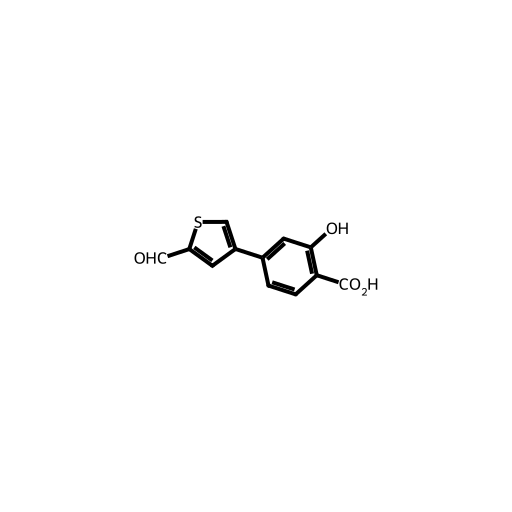 O=Cc1cc(-c2ccc(C(=O)O)c(O)c2)cs1